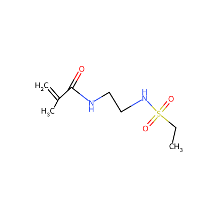 C=C(C)C(=O)NCCNS(=O)(=O)CC